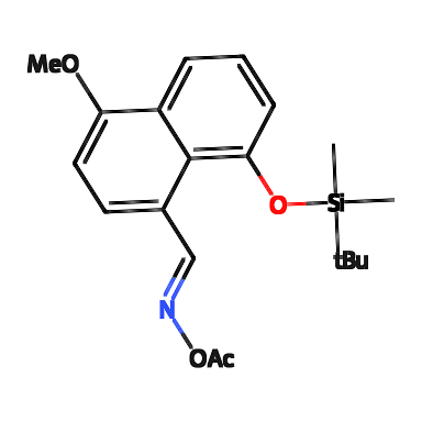 COc1ccc(/C=N/OC(C)=O)c2c(O[Si](C)(C)C(C)(C)C)cccc12